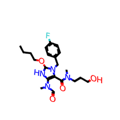 CCCCOC1NC(N(C)C=O)=C(C(=O)N(C)CCCO)N1Cc1ccc(F)cc1